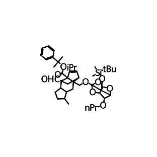 CCCOC1C2OC3(OCC45CC6C(C)CCC6C6(C=O)CC4C=C(C(C)C)C65C(=O)OC(C)(C)c4ccccc4)OC2OC1C3O[Si](C)(C)C(C)(C)C